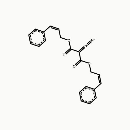 [N-]=[N+]=C(C(=O)OC/C=C\c1ccccc1)C(=O)OC/C=C\c1ccccc1